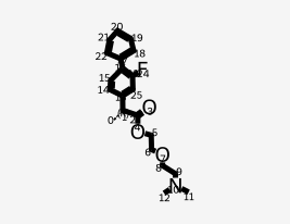 C[C@@H](C(=O)OCCOCCN(C)C)c1ccc(-c2ccccc2)c(F)c1